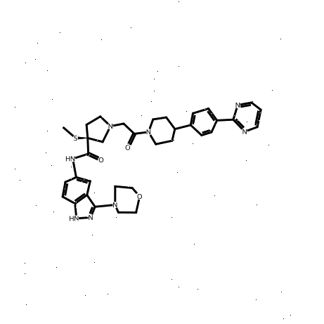 CS[C@@]1(C(=O)Nc2ccc3[nH]nc(N4CCOCC4)c3c2)CCN(CC(=O)N2CCC(c3ccc(-c4ncccn4)cc3)CC2)C1